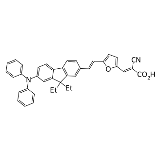 CCC1(CC)c2cc(/C=C/c3ccc(/C=C(\C#N)C(=O)O)o3)ccc2-c2ccc(N(c3ccccc3)c3ccccc3)cc21